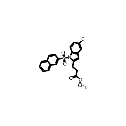 COC(=O)CCc1cc2cc(Cl)ccc2n1S(=O)(=O)c1ccc2ccccc2c1